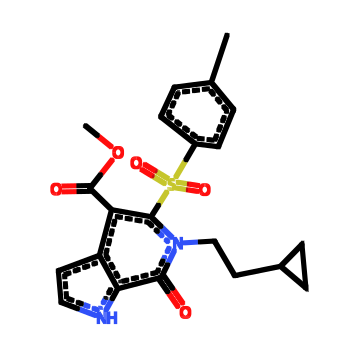 COC(=O)c1c(S(=O)(=O)c2ccc(C)cc2)n(CCC2CC2)c(=O)c2[nH]ccc12